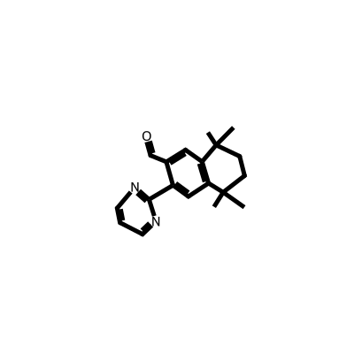 CC1(C)CCC(C)(C)c2cc(-c3ncccn3)c(C=O)cc21